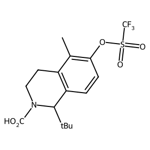 Cc1c(OS(=O)(=O)C(F)(F)F)ccc2c1CCN(C(=O)O)C2C(C)(C)C